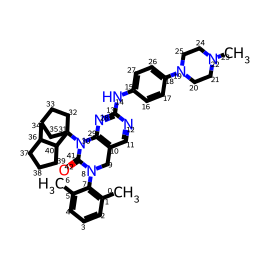 Cc1cccc(C)c1N1Cc2cnc(Nc3ccc(N4CCN(C)CC4)cc3)nc2N(C23CCC(C2)C2CCCC23)C1=O